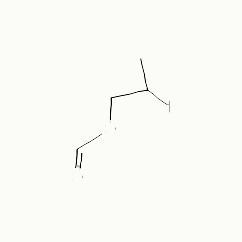 CC(I)COC=O